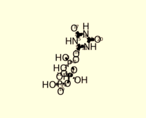 O=P(O)(O)OP(=O)(O)OP(=O)(O)O.O=c1[nH]c(=O)[nH]c(=O)[nH]1